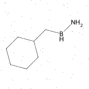 NBCC1CCCCC1